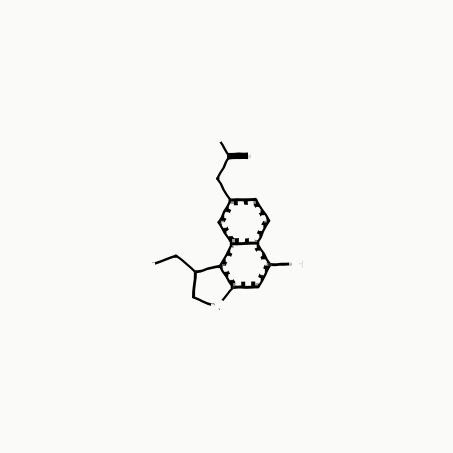 O=C(O)Cc1ccc2c(O)cc3c(c2c1)C(CCl)CN3